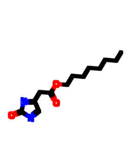 CCCCCCCCOC(=O)CC1=NC(=O)N=C1